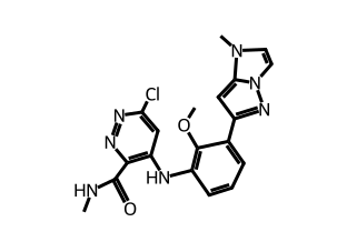 CNC(=O)c1nnc(Cl)cc1Nc1cccc(-c2cc3n(C)ccn3n2)c1OC